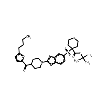 CCCCc1ccc(C(=O)C2CCN(c3nc4ccc(S(=O)(=O)C5(C(=O)OC(C)(C)C)CCOCC5)cc4s3)CC2)s1